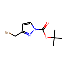 CC(C)(C)OC(=O)n1ccc(CBr)n1